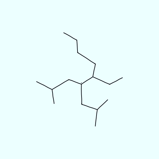 CCCCC(CC)[C](CC(C)C)CC(C)C